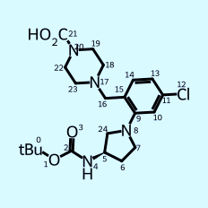 CC(C)(C)OC(=O)N[C@@H]1CCN(c2cc(Cl)ccc2CN2CCN(C(=O)O)CC2)C1